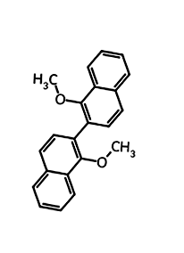 COc1c(-c2ccc3ccccc3c2OC)ccc2ccccc12